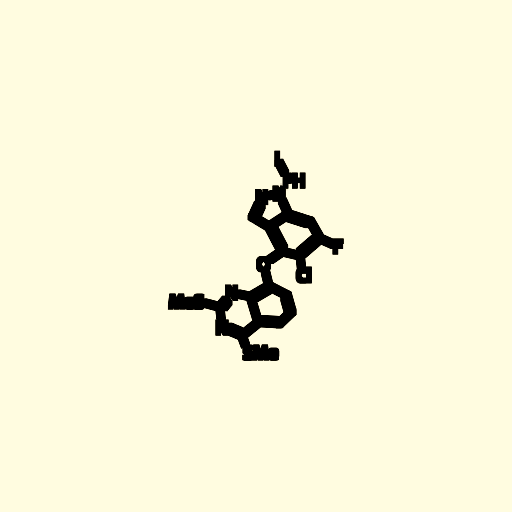 CSc1nc(SC)c2cccc(Oc3c(Cl)c(F)cc4c3cnn4PI)c2n1